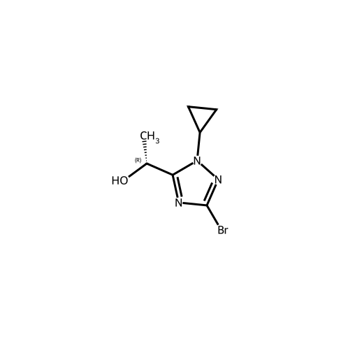 C[C@@H](O)c1nc(Br)nn1C1CC1